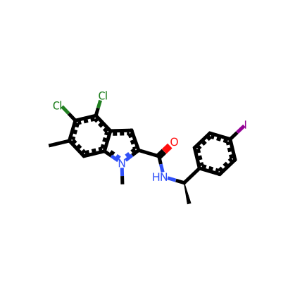 Cc1cc2c(cc(C(=O)N[C@H](C)c3ccc(I)cc3)n2C)c(Cl)c1Cl